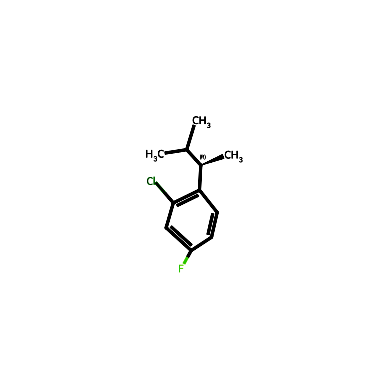 CC(C)[C@@H](C)c1ccc(F)cc1Cl